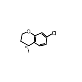 C[C@@H]1CCOc2cc(Cl)ccc21